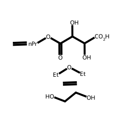 C=C.C=C.CCCOC(=O)C(O)C(O)C(=O)O.CCOCC.OCCO